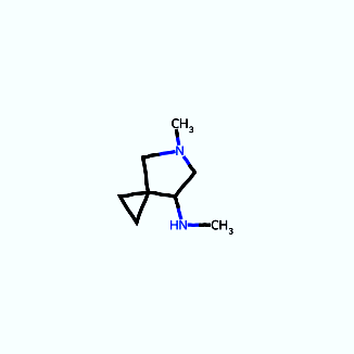 CNC1CN(C)CC12CC2